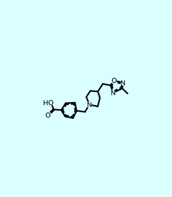 Cc1noc(CC2CCN(Cc3ccc(C(=O)O)cc3)CC2)n1